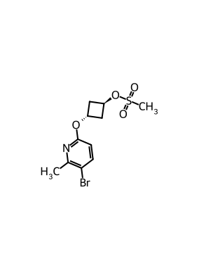 Cc1nc(O[C@H]2C[C@H](OS(C)(=O)=O)C2)ccc1Br